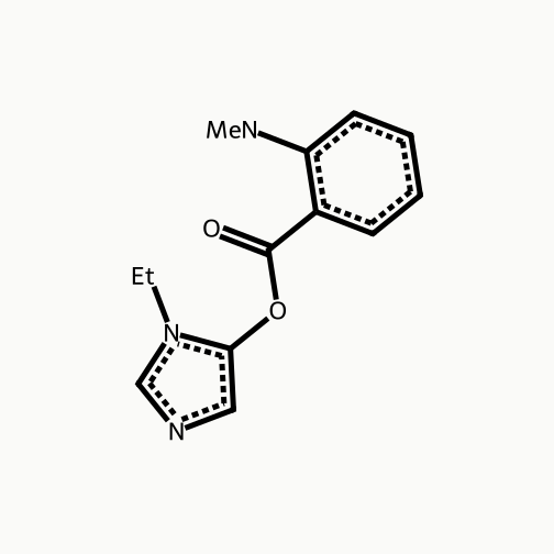 CCn1cncc1OC(=O)c1ccccc1NC